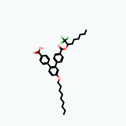 CCCCCCCCCOc1ccc(-c2ccc(C(=O)O)cc2)c(-c2ccc(C(=O)OC(CCCCCC)C(F)(F)F)cc2)c1